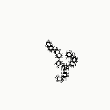 c1cc(-c2ccc3ccc(-c4ccc5ccccc5c4)cc3c2)cc(-c2nc(-c3ccc4oc5ccccc5c4c3)nc(-c3ccc4ccc5oc6ccccc6c5c4c3)n2)c1